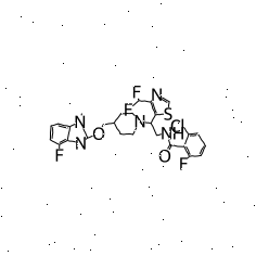 Cn1c(OCC2CCN(C(CNC(=O)c3c(F)cccc3Cl)c3scnc3C(F)F)CC2)nc2c(F)cccc21